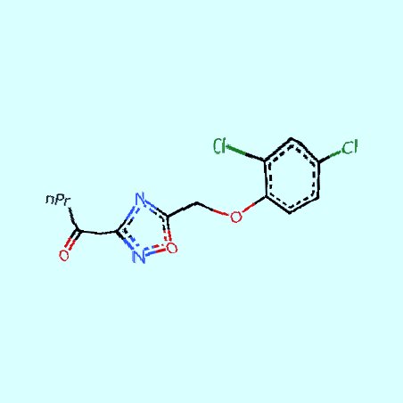 CCCC(=O)c1noc(COc2ccc(Cl)cc2Cl)n1